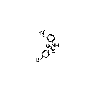 CN(C)Cc1cccc(NS(=O)(=O)c2ccc(Br)cc2)c1